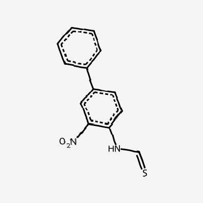 O=[N+]([O-])c1cc(-c2ccccc2)ccc1NC=S